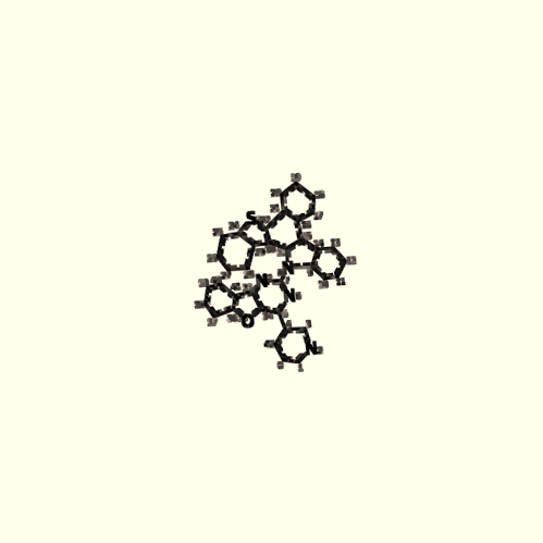 c1cncc(-c2nc(-n3c4ccccc4c4c5ccccc5c5sc6ccccc6c5c43)nc3c2oc2ccccc23)c1